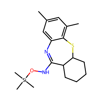 Cc1cc(C)c2c(c1)N=C(NO[Si](C)(C)C)C1CCCCC1S2